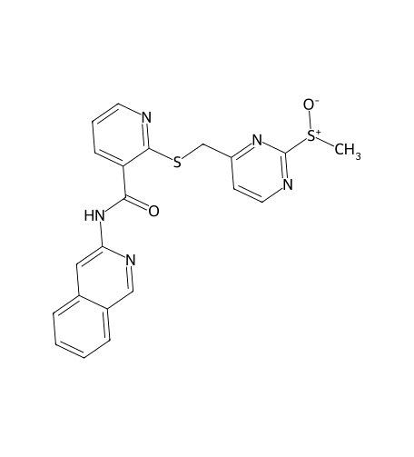 C[S+]([O-])c1nccc(CSc2ncccc2C(=O)Nc2cc3ccccc3cn2)n1